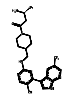 CC(C)[C@@H](N)CC(=O)N1CCC(CNc2ncc(C#N)c(-c3c[nH]c4ncc(C(F)(F)F)cc34)n2)CC1